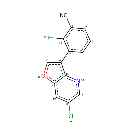 N#Cc1cccc(-c2coc3cc(Cl)cnc23)c1F